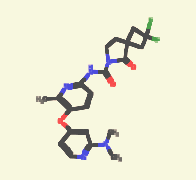 Cc1nc(NC(=O)N2CCC3(CC(F)(F)C3)C2=O)ccc1Oc1ccnc(N(C)C)c1